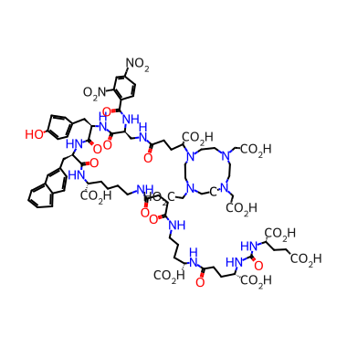 O=C(O)CC[C@H](NC(=O)N[C@@H](CCC(=O)N[C@@H](CCCNC(=O)CCC(=O)NCCCC[C@@H](NC(=O)[C@@H](Cc1ccc2ccccc2c1)NC(=O)[C@@H](Cc1ccc(O)cc1)NC(=O)[C@H](CNC(=O)CCC(C(=O)O)N1CCN(CC(=O)O)CCN(CC(=O)O)CCN(CC(=O)O)CC1)NC(=O)c1ccc([N+](=O)[O-])cc1[N+](=O)[O-])C(=O)O)C(=O)O)C(=O)O)C(=O)O